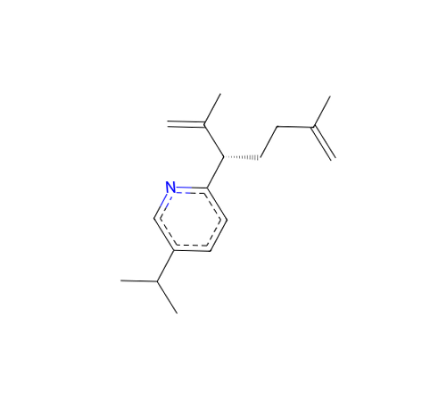 C=C(C)CC[C@@H](C(=C)C)c1ccc(C(C)C)cn1